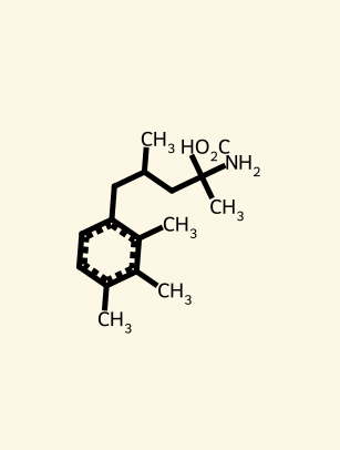 Cc1ccc(CC(C)CC(C)(N)C(=O)O)c(C)c1C